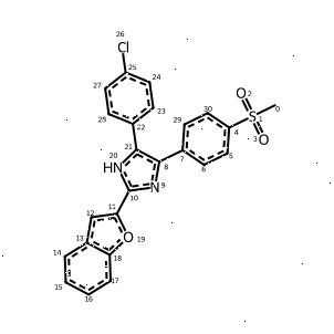 CS(=O)(=O)c1ccc(-c2nc(-c3cc4ccccc4o3)[nH]c2-c2ccc(Cl)cc2)cc1